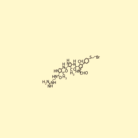 Cc1c(NC(=O)c2[nH]cc(NC(=O)c3c(C)c(-c4ccc(SCCBr)cc4)cn3NC=O)c2C)c[nH]c1C(=O)NCCNC(=N)N